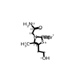 Br.Br.CC1=C(CCO)SCN1CC(N)=O